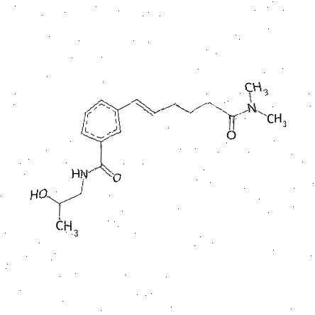 CC(O)CNC(=O)c1cccc(C=CCCCC(=O)N(C)C)c1